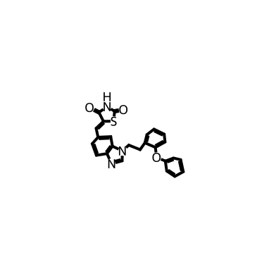 O=C1NC(=O)C(=Cc2ccc3ncn(CCc4ccccc4Oc4ccccc4)c3c2)S1